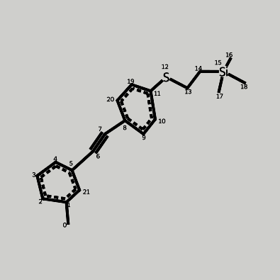 Cc1cccc(C#Cc2ccc(SCC[Si](C)(C)C)cc2)c1